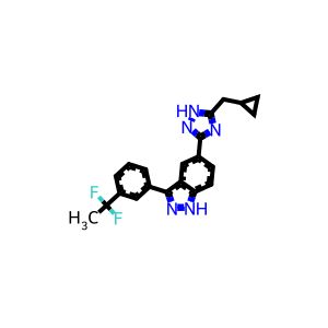 CC(F)(F)c1cccc(-c2n[nH]c3ccc(-c4n[nH]c(CC5CC5)n4)cc23)c1